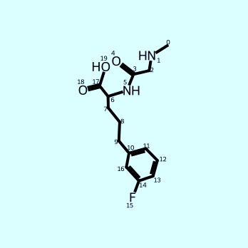 CNCC(=O)NC(CCCc1cccc(F)c1)C(=O)O